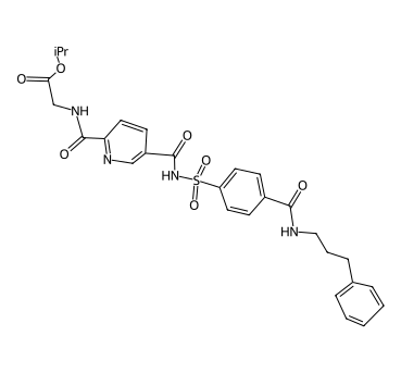 CC(C)OC(=O)CNC(=O)c1ccc(C(=O)NS(=O)(=O)c2ccc(C(=O)NCCCc3ccccc3)cc2)cn1